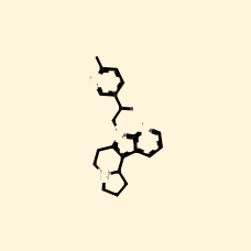 Cc1ccc(C(F)Cn2c3c(c4cccnc42)C2CCCN2CC3)cn1